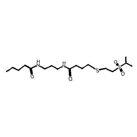 CCCCC(=O)NCCCNC(=O)CCCSCCS(=O)(=O)C(C)C